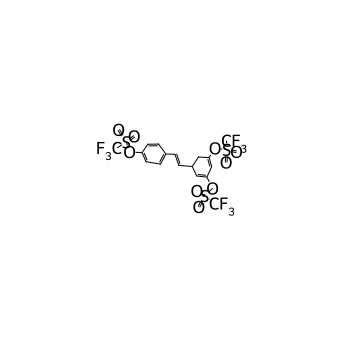 O=S(=O)(OC1=CC(C=Cc2ccc(OS(=O)(=O)C(F)(F)F)cc2)CC(OS(=O)(=O)C(F)(F)F)=C1)C(F)(F)F